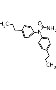 CCCc1ccc(N(C(N)=O)c2ccc(CCC)cc2)cc1